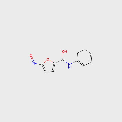 O=Nc1ccc(C(O)NC2=CC=CCC2)o1